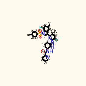 Cc1ccc(S(=O)(=O)n2cc(-c3nc(NC4CCCC(NC(=O)c5ccccn5)C4)c(F)cc3C#N)c3cc(C)cc(F)c32)cc1